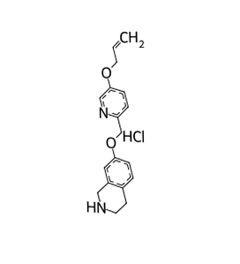 C=CCOc1ccc(COc2ccc3c(c2)CNCC3)nc1.Cl